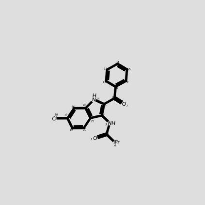 CC(C)C(=O)Nc1c(C(=O)c2ccccc2)[nH]c2cc(Cl)ccc12